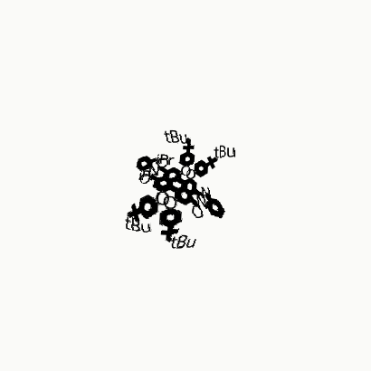 CC(C)c1cccc(C(C)C)c1N1C(=O)c2cc(Oc3ccc(C(C)(C)CC(C)(C)C)cc3)c3c4c(Oc5ccc(C(C)(C)CC(C)(C)C)cc5)cc5c(=O)n6c7ccccc7nc6c6cc(Oc7ccc(C(C)(C)CC(C)(C)C)cc7)c(c7c(Oc8ccc(C(C)(C)CC(C)(C)C)cc8)cc(c2c37)C1=O)c4c56